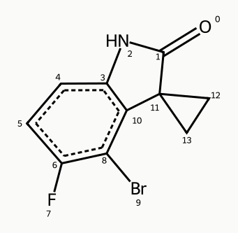 O=C1Nc2ccc(F)c(Br)c2C12CC2